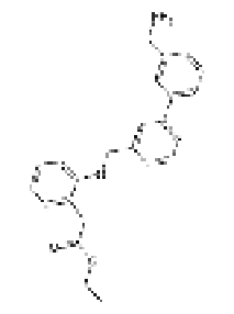 CCOC(=O)Cc1ccccc1OCc1cccc(-c2cccc(CN)c2)c1